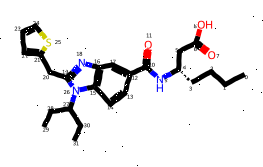 CCCC[C@@H](CC(=O)O)NC(=O)c1ccc2c(c1)nc(Cc1cccs1)n2C(CC)CC